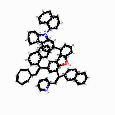 C1=CC=CC(/C=C(/c2cc(/C(=C\c3ccccn3)c3ccc4ccccc4c3)c3oc4cccc(-c5ccc6c7ccccc7n(-c7cccc8ccccc78)c6c5)c4c3c2)c2cccc3ccccc23)C=C1